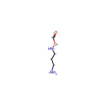 NCCCNOC=O